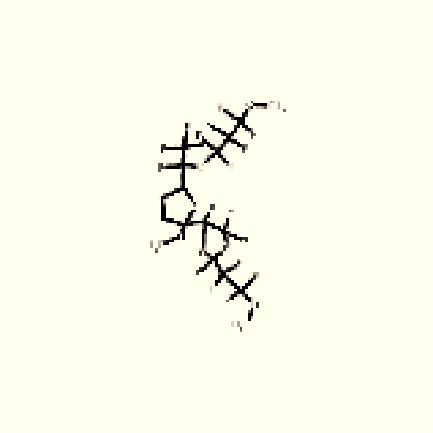 COC(F)(F)C(F)(F)C(F)(F)OC(F)(C1CCC(OC)(C(F)(OC(F)(F)C(F)(F)C(F)(F)OC)C(F)(F)F)O1)C(F)(F)F